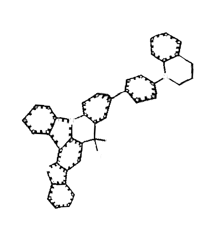 CC1(C)c2cc(-c3ccc(N4CCCc5ccccc54)cc3)ccc2-n2c3ccccc3c3c4oc5ccccc5c4cc1c32